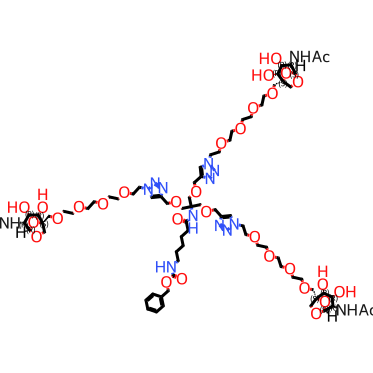 CC(=O)N[C@H]1[C@@H]2OC[C@](COCCOCCOCCOCCn3cc(COCC(COCc4cn(CCOCCOCCOCCOC[C@@]56CO[C@@H](O5)[C@H](NC(C)=O)[C@@H](O)[C@H]6O)nn4)(COCc4cn(CCOCCOCCOCCOC[C@@]56CO[C@@H](O5)[C@H](NC(C)=O)[C@@H](O)[C@H]6O)nn4)NC(=O)CCCCCNC(=O)OCc4ccccc4)nn3)(O2)[C@H](O)[C@@H]1O